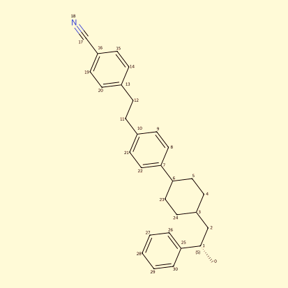 C[C@@H](CC1CCC(c2ccc(CCc3ccc(C#N)cc3)cc2)CC1)c1ccccc1